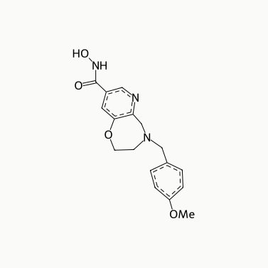 COc1ccc(CN2CCOc3cc(C(=O)NO)cnc3C2)cc1